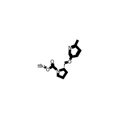 Cc1ccc(OC[C@@H]2CCCN2C(=O)OC(C)(C)C)cn1